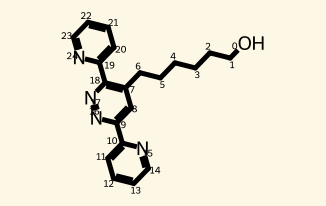 OCCCCCCc1cc(-c2ccccn2)nnc1-c1ccccn1